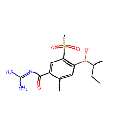 CCC(C)[S+]([O-])c1cc(C)c(C(=O)N=C(N)N)cc1S(C)(=O)=O